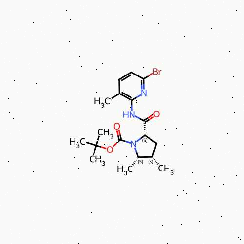 Cc1ccc(Br)nc1NC(=O)[C@@H]1C[C@H](C)[C@H](C)N1C(=O)OC(C)(C)C